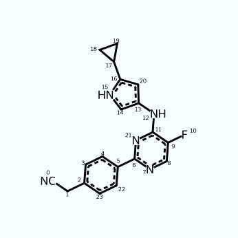 N#CCc1ccc(-c2ncc(F)c(Nc3c[nH]c(C4CC4)c3)n2)cc1